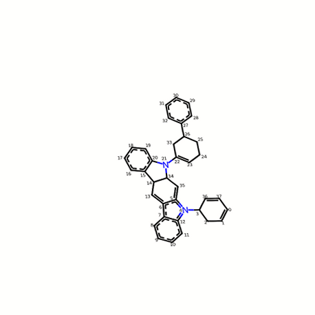 C1=CCC(n2c3c(c4ccccc42)=CC2c4ccccc4N(C4=CCCC(c5ccccc5)C4)C2C=3)C=C1